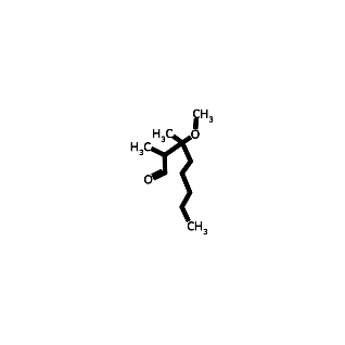 CCCCCC(C)(OC)C(C)C=O